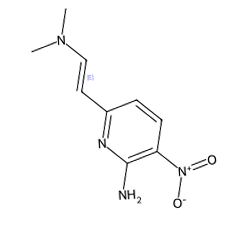 CN(C)/C=C/c1ccc([N+](=O)[O-])c(N)n1